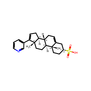 C[C@]12CC[C@H](S(=O)(=O)O)CC1=CC[C@@H]1[C@@H]2CC[C@]2(C)C(c3cccnc3)=CC[C@@H]12